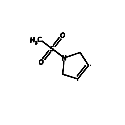 CS(=O)(=O)N1C[C]=[C]C1